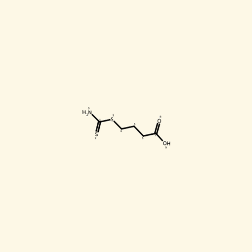 NC(=S)SCCCC(=O)O